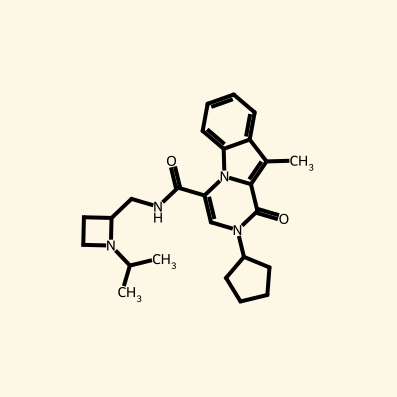 Cc1c2ccccc2n2c(C(=O)NCC3CCN3C(C)C)cn(C3CCCC3)c(=O)c12